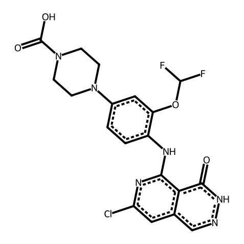 O=C(O)N1CCN(c2ccc(Nc3nc(Cl)cc4cn[nH]c(=O)c34)c(OC(F)F)c2)CC1